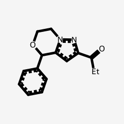 CCC(=O)c1cc2n(n1)CCOC2c1ccccc1